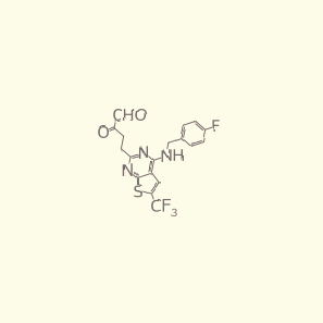 O=CC(=O)CCc1nc(NCc2ccc(F)cc2)c2cc(C(F)(F)F)sc2n1